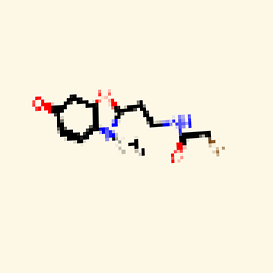 CN1C2=C(CC(=O)C=C2)OC1CCNC(=O)CBr